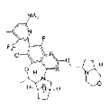 Cc1cc(N)nc(-c2c(Cl)c3c4c(nc(OC[C@@H]5CC[C@H]6COCCN65)nc4c2F)N2C[C@H]4CC[C@H](N4)[C@H]2[C@H](C)O3)c1C(F)(F)F